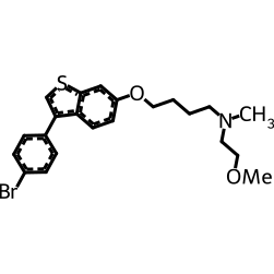 COCCN(C)CCCCOc1ccc2c(-c3ccc(Br)cc3)csc2c1